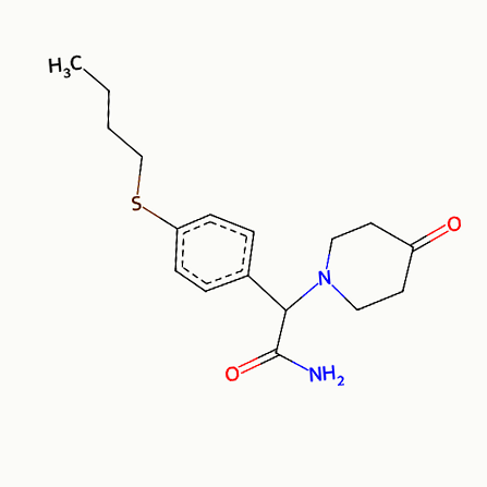 CCCCSc1ccc(C(C(N)=O)N2CCC(=O)CC2)cc1